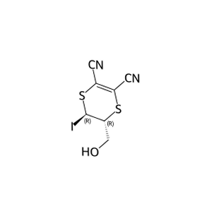 N#CC1=C(C#N)S[C@H](CO)[C@@H](I)S1